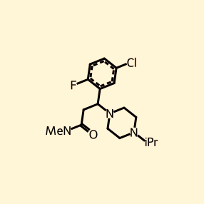 CNC(=O)CC(c1cc(Cl)ccc1F)N1CCN(C(C)C)CC1